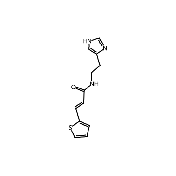 O=C(/C=C/c1cccs1)NCCc1c[nH]cn1